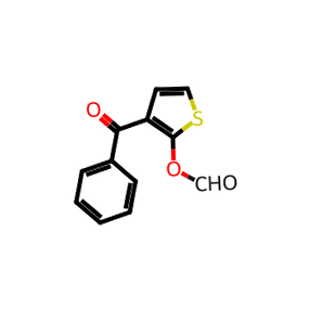 O=COc1sccc1C(=O)c1ccccc1